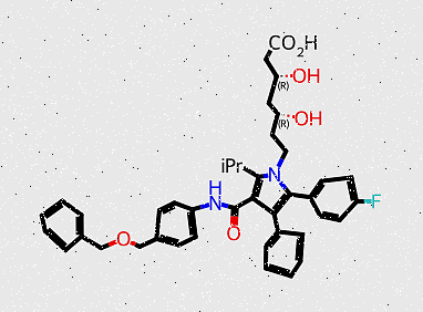 CC(C)c1c(C(=O)Nc2ccc(COCc3ccccc3)cc2)c(-c2ccccc2)c(-c2ccc(F)cc2)n1CC[C@@H](O)C[C@@H](O)CC(=O)O